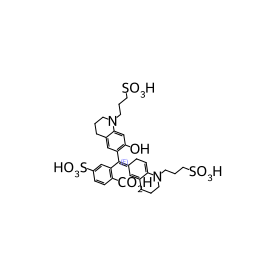 O=C(O)c1ccc(S(=O)(=O)O)cc1/C(=C1\C=C2CCCN(CCCS(=O)(=O)O)C2=CC1)c1cc2c(cc1O)N(CCCS(=O)(=O)O)CCC2